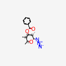 C[C@H]1[C@@H](OC(=O)c2ccccc2)[C@H](C)C(N=[N+]=[N-])O[C@H]1C